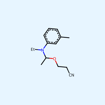 CCN(c1cccc(C)c1)C(C)OCCC#N